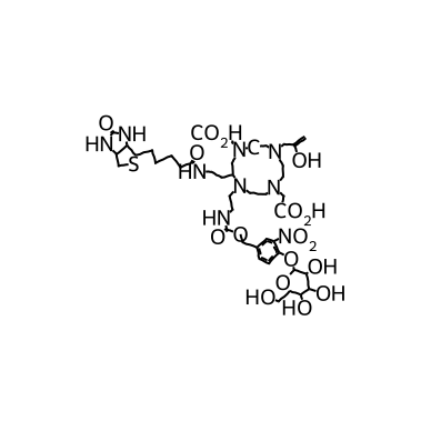 C=C(O)CN1CCN(CC(=O)O)CCN(CCNC(=O)OCc2ccc(OC3OC(CO)C(O)C(O)C3O)c([N+](=O)[O-])c2)C(CCNC(=O)CCCCC2SCC3NC(=O)NC32)CN(CC(=O)O)CC1